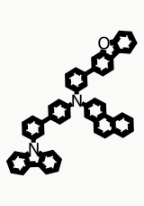 c1cc(-c2ccc3c(c2)oc2ccccc23)cc(N(c2ccc(-c3cccc(-n4c5ccccc5c5ccccc54)c3)cc2)c2ccc3c(ccc4ccccc43)c2)c1